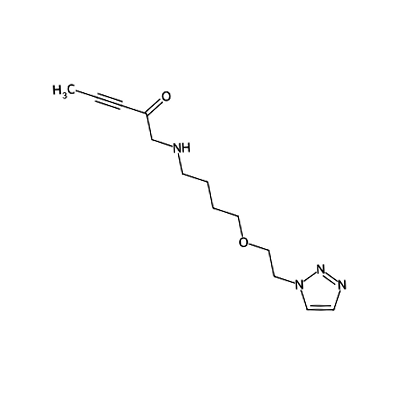 CC#CC(=O)CNCCCCOCCn1ccnn1